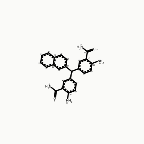 NC(=O)c1cc(C(c2ccc(N)c(C(N)=O)c2)c2ccc3ccccc3c2)ccc1N